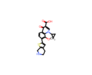 COc1c(-c2cc3c(s2)CNCC3)ccc2c(=O)c(C(=O)O)cn(C3CC3)c12